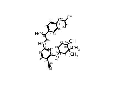 CC1(C)C[C@@H](Nc2nc(NCC(O)c3ccc(OC(F)F)cc3)ncc2C#N)CC[C@H]1O